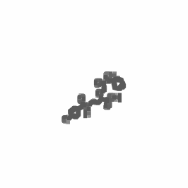 CN(C(=O)COC(CCNC(=O)c1ccc(Cl)cc1)C(=O)O)c1ccccc1